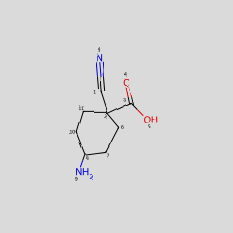 N#CC1(C(=O)O)CCC(N)CC1